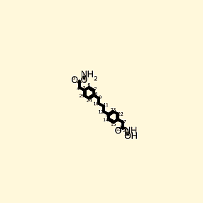 NOC(=O)Cc1ccc(CCCCc2ccc(CC(=O)NO)cc2)cc1